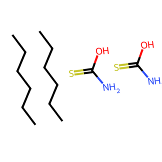 CCCCCC.CCCCCC.NC(O)=S.NC(O)=S